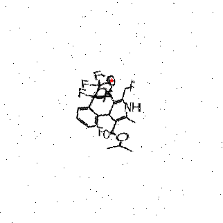 COC(=O)C1=C(CF)NC(C)=C(C(=O)OC(C)C)C1c1c(F)cccc1C(F)(F)C(F)(F)F